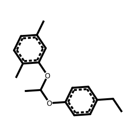 CCc1ccc(OC(C)Oc2cc(C)ccc2C)cc1